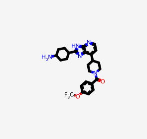 NC1CCC(c2nc3c(C4CCN(C(=O)c5ccc(OC(F)(F)F)cc5)CC4)ccnc3[nH]2)CC1